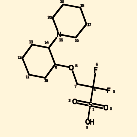 O=S(=O)(O)C(F)(F)COC1CCCCC1N1CCCCC1